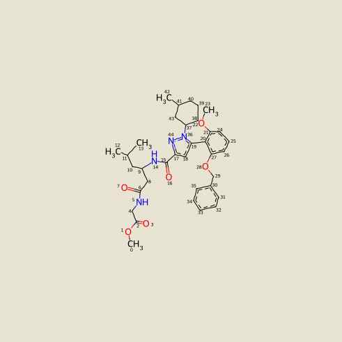 COC(=O)CNC(=O)CC(CC(C)C)NC(=O)c1cc(-c2c(OC)cccc2OCc2ccccc2)n(C2CCCC(C)C2)n1